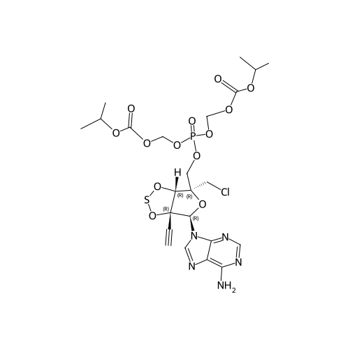 C#C[C@@]12OSO[C@@H]1[C@@](CCl)(COP(=O)(OCOC(=O)OC(C)C)OCOC(=O)OC(C)C)O[C@H]2n1cnc2c(N)ncnc21